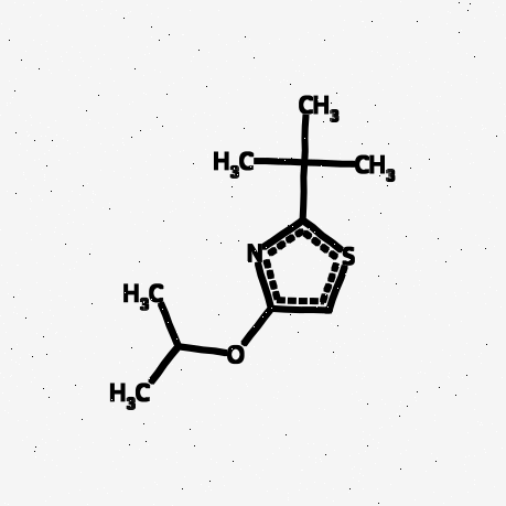 CC(C)Oc1csc(C(C)(C)C)n1